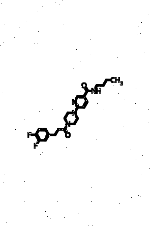 CCCCNC(=O)c1ccc(N2CCN(C(=O)CCc3ccc(F)c(F)c3)CC2)nc1